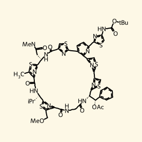 CNC(=O)C[C@@H]1NC(=O)c2csc(n2)-c2ccc(-c3nc(NC(=O)OC(C)(C)C)cs3)nc2-c2csc(n2)-c2csc(n2)[C@H]([C@@H](OC(C)=O)c2ccccc2)NC(=O)CNC(=O)c2nc(sc2COC)[C@H](C(C)C)NC(=O)c2nc1sc2C